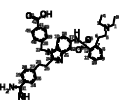 CCN(CC)CCc1ccccc1S(=O)(=O)Nc1ccc2c(c1)nc(CCc1ccc(C(=N)N)cc1)n2Cc1ccc(C(=O)O)cc1